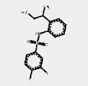 CCC(C)c1ccccc1NS(=O)(=O)c1ccc(F)c(F)c1